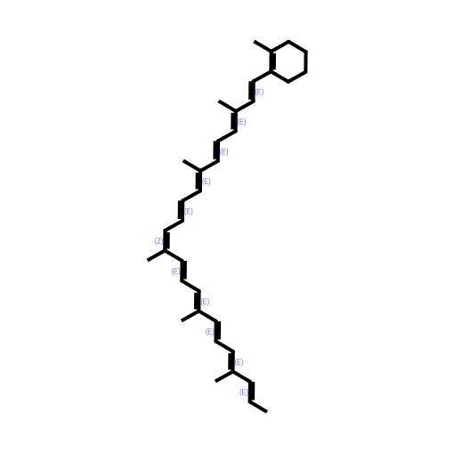 C/C=C/C(C)=C/C=C/C(C)=C/C=C/C(C)=C\C=C\C=C(C)\C=C\C=C(C)\C=C\C1=C(C)CCCC1